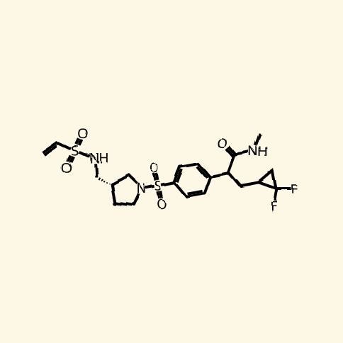 C=CS(=O)(=O)NC[C@H]1CCN(S(=O)(=O)c2ccc(C(CC3CC3(F)F)C(=O)NC)cc2)C1